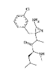 CN[C@@H](CC(C)C)C(=O)C(C)[C@]1(Cc2cccc(Cl)c2)N=C1N